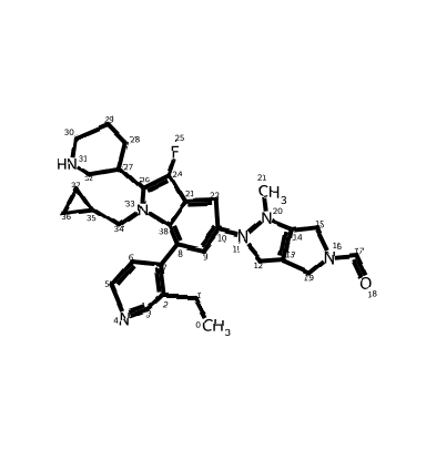 CCc1cnccc1-c1cc(N2CC3=C(CN(C=O)C3)N2C)cc2c(F)c(C3CCCNC3)n(CC3CC3)c12